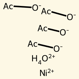 CC(=O)[O-].CC(=O)[O-].CC(=O)[O-].CC(=O)[O-].[Ni+2].[OH4+2]